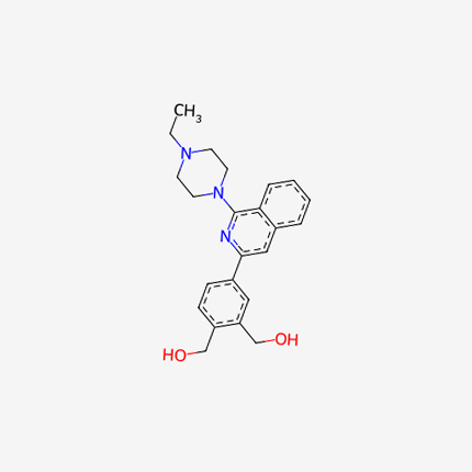 CCN1CCN(c2nc(-c3ccc(CO)c(CO)c3)cc3ccccc23)CC1